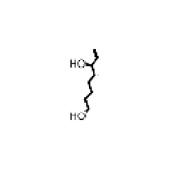 C=CC(O)[CH]CCCCO